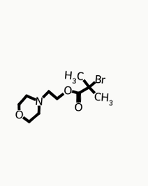 CC(C)(Br)C(=O)OCCN1CCOCC1